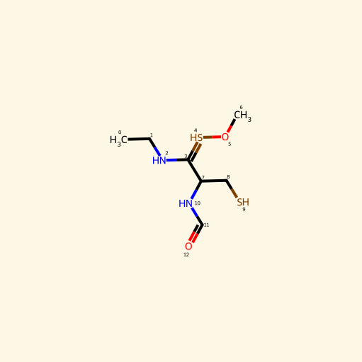 CCNC(=[SH]OC)C(CS)NC=O